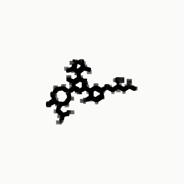 CNC[C@@H](O)COc1ccc(F)c(-c2nc(-c3c(C)noc3C)c(C)c(N3CCOC(=O)N(CC(F)F)CC3)n2)c1